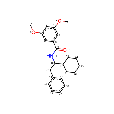 COc1cc(OC)cc(C(=O)NC(Cc2ccccc2)C2CCCCC2)c1